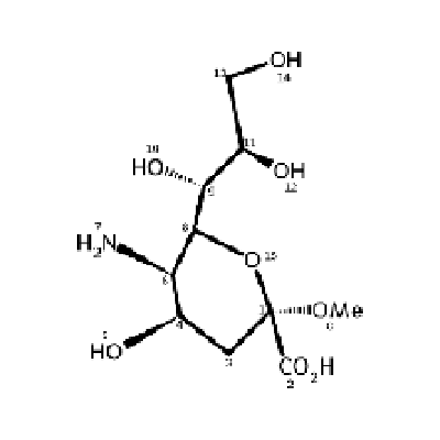 CO[C@]1(C(=O)O)C[C@@H](O)[C@@H](N)C([C@H](O)[C@H](O)CO)O1